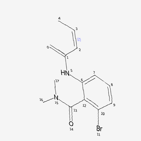 C=C(/C=C\C)Nc1cccc(Br)c1C(=O)N(C)C